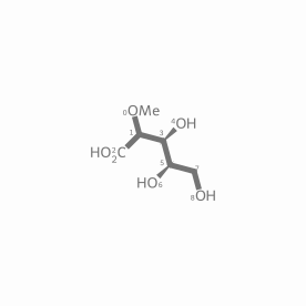 COC(C(=O)O)[C@@H](O)[C@H](O)CO